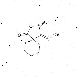 C[C@@H]1OC(=O)C2(CCCCC2)C1=NO